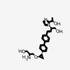 CC(O)c1nccn1C(/C=C/c1ccc(-c2ccc([C@@H]3C[C@H]3OCC(N)CO)cc2)cc1)CO